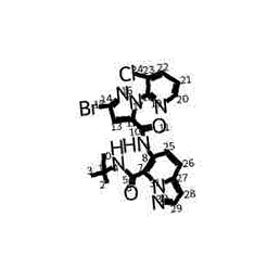 CC(C)(C)NC(=O)c1c(NC(=O)c2cc(Br)nn2-c2ncccc2Cl)ccc2ccnn12